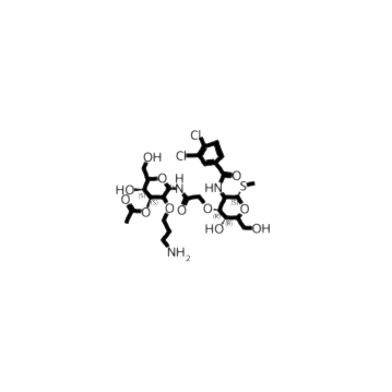 CS[C@@H]1OC(CO)[C@H](O)[C@H](OCC(=O)N[C@@H]2OC(CO)[C@H](O)[C@H](OC(C)=O)C2OCCCN)C1NC(=O)c1ccc(Cl)c(Cl)c1